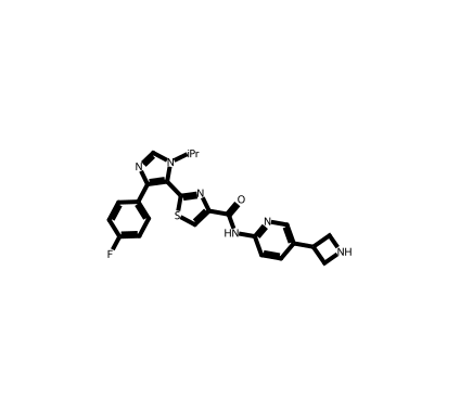 CC(C)n1cnc(-c2ccc(F)cc2)c1-c1nc(C(=O)Nc2ccc(C3CNC3)cn2)cs1